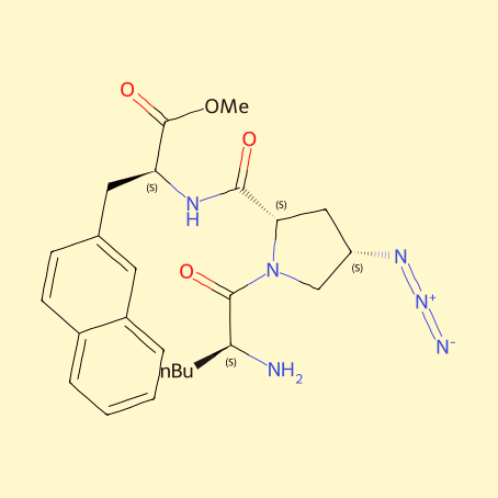 CCCC[C@H](N)C(=O)N1C[C@@H](N=[N+]=[N-])C[C@H]1C(=O)N[C@@H](Cc1ccc2ccccc2c1)C(=O)OC